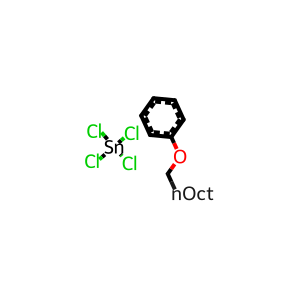 CCCCCCCCCOc1ccccc1.[Cl][Sn]([Cl])([Cl])[Cl]